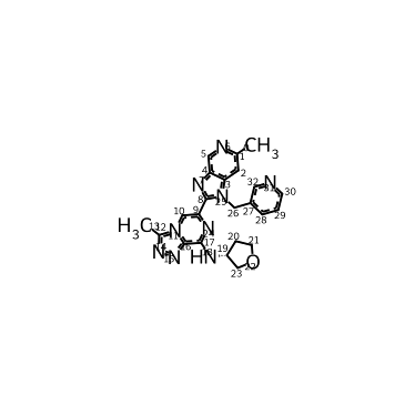 Cc1cc2c(cn1)nc(-c1cn3c(C)nnc3c(N[C@@H]3CCOC3)n1)n2Cc1cccnc1